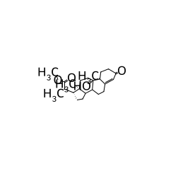 COC(=O)[C@@H](C)[C@H]1CCC2C3CCC4=CC(=O)CC[C@]4(C)[C@@]3(O)CC[C@@]21C